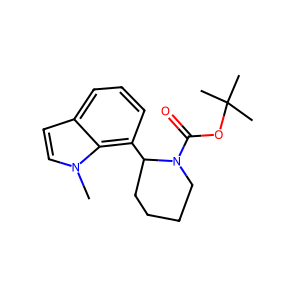 Cn1ccc2cccc(C3CCCCN3C(=O)OC(C)(C)C)c21